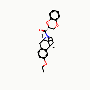 CCOc1ccc2c(c1)[C@]1(C)CCN(C(=O)[C@H]3COc4ccccc4O3)[C@H](C2)[C@@H]1C